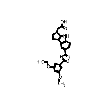 CCOc1cc(OCC)cc(-c2nc(-c3ccc4[nH]c5c(c4c3)CCC5CC(=O)O)no2)c1